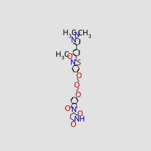 COc1cc(-c2ccc(N(C)C)nc2)ccc1-c1nc2ccc(OCCOCCOc3ccc4c(c3)CN(C3CCC(=O)NC3=O)C4=O)cc2s1